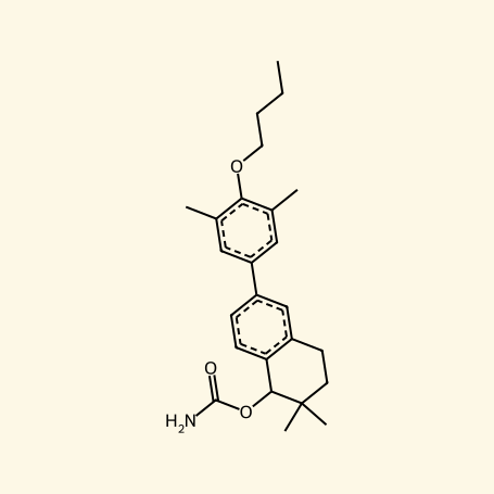 CCCCOc1c(C)cc(-c2ccc3c(c2)CCC(C)(C)C3OC(N)=O)cc1C